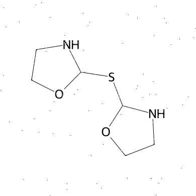 C1COC(SC2NCCO2)N1